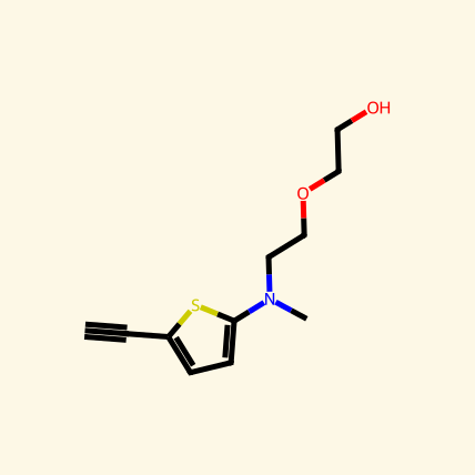 C#Cc1ccc(N(C)CCOCCO)s1